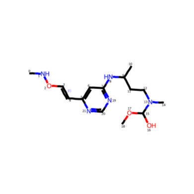 CNO/C=C/c1cc(NC(C)CCN(C)C(O)OC)ncn1